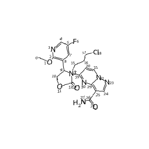 COc1ncc(F)cc1C1COC(=O)[N+]1(CCCCl)c1ccn2ncc(C(N)=O)c2n1